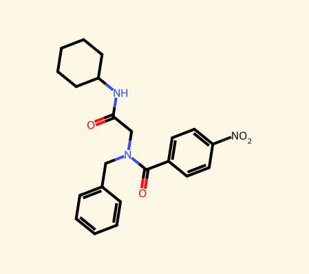 O=C(CN(Cc1ccccc1)C(=O)c1ccc([N+](=O)[O-])cc1)NC1CCCCC1